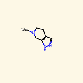 CC(C)(C)N1CCc2[c]n[nH]c2C1